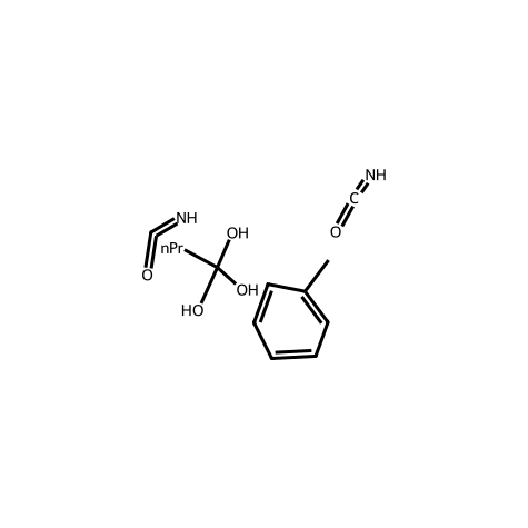 CCCC(O)(O)O.Cc1ccccc1.N=C=O.N=C=O